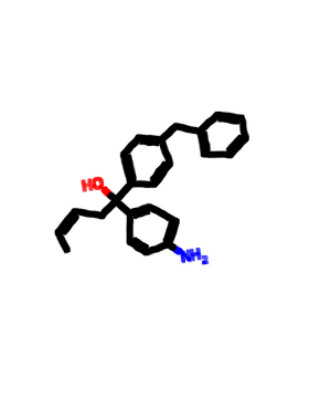 C/C=C\CC(O)(c1ccc(N)cc1)c1ccc(Cc2ccccc2)cc1